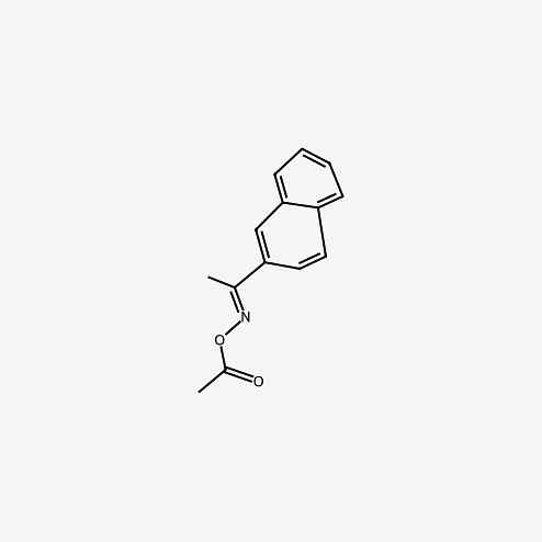 CC(=O)O/N=C(\C)c1ccc2ccccc2c1